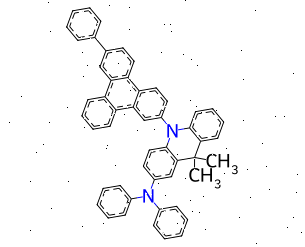 CC1(C)c2ccccc2N(c2ccc3c4ccc(-c5ccccc5)cc4c4ccccc4c3c2)c2ccc(N(c3ccccc3)c3ccccc3)cc21